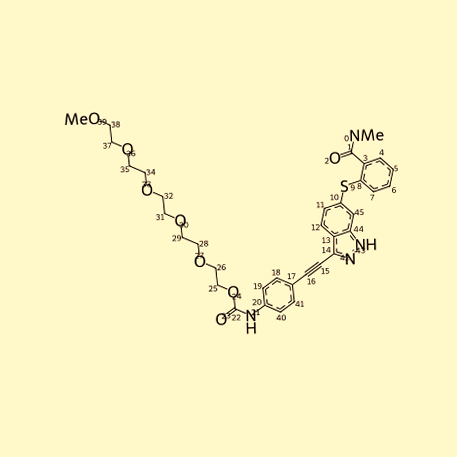 CNC(=O)c1ccccc1Sc1ccc2c(C#Cc3ccc(NC(=O)OCCOCCOCCOCCOCCOC)cc3)n[nH]c2c1